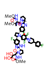 COC(=O)N[C@H](C(=O)N1CCC[C@H]1c1nc2cc(F)c([C@H]3CC[C@H](c4cc5[nH]c([C@@]6(C)CCCN6C(=O)[C@@H](NC(=O)OC)[C@@H](C)OC)nc5cc4F)N3c3cc(F)c(N4CCC(c5ccc(F)cc5)CC4)c(F)c3)cc2[nH]1)[C@H](O)CO